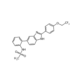 CS(=O)(=O)Nc1ccccc1-c1ccc2[nH]c(-c3ccc(OCC(F)(F)F)cc3)nc2c1